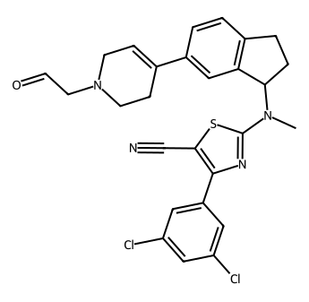 CN(c1nc(-c2cc(Cl)cc(Cl)c2)c(C#N)s1)C1CCc2ccc(C3=CCN(CC=O)CC3)cc21